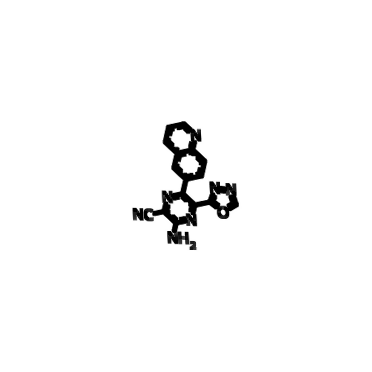 N#Cc1nc(-c2ccc3ncccc3c2)c(-c2nnco2)nc1N